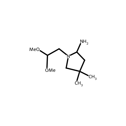 COC(CN1CC(C)(C)CC1N)OC